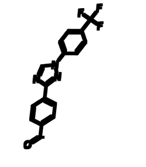 O=[C]c1ccc(-c2ncn(-c3ccc(C(F)(F)F)cc3)n2)cc1